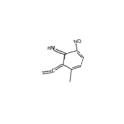 C=C=C1C(=N)C(N=O)=CC=C1C